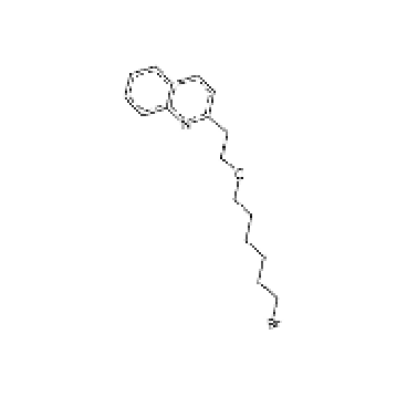 BrCCCCCCOCCc1ccc2ccccc2n1